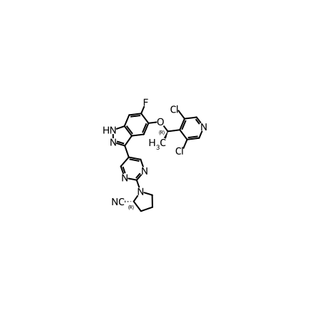 C[C@@H](Oc1cc2c(-c3cnc(N4CCC[C@@H]4C#N)nc3)n[nH]c2cc1F)c1c(Cl)cncc1Cl